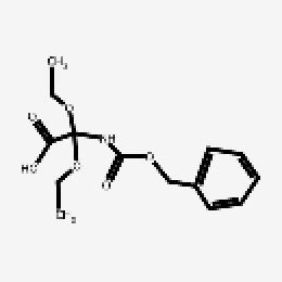 CCOC(NC(=O)OCc1ccccc1)(OCC)C(=O)O